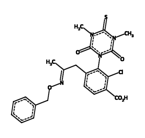 CC(Cc1ccc(C(=O)O)c(Cl)c1-n1c(=O)n(C)c(=S)n(C)c1=O)=NOCc1ccccc1